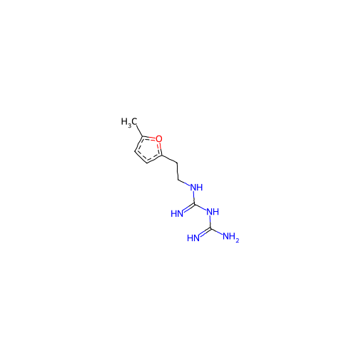 Cc1ccc(CCNC(=N)NC(=N)N)o1